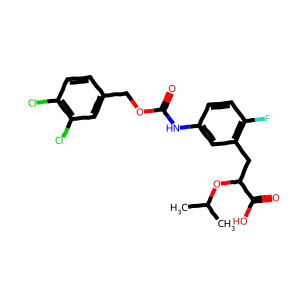 CC(C)OC(Cc1cc(NC(=O)OCc2ccc(Cl)c(Cl)c2)ccc1F)C(=O)O